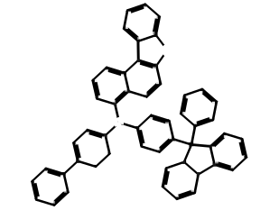 C1=CC2c3ccccc3C(c3ccccc3)(c3ccc(N(C4=CC=C(c5ccccc5)CC4)c4cccc5c4ccc4sc6ccccc6c45)cc3)C2C=C1